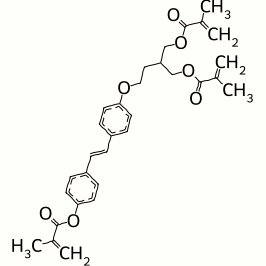 C=C(C)C(=O)OCC(CCOc1ccc(/C=C/c2ccc(OC(=O)C(=C)C)cc2)cc1)COC(=O)C(=C)C